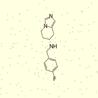 Fc1ccc(CN[C@@H]2CCn3cncc3C2)cc1